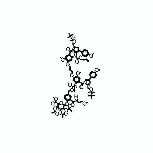 C=CCOC(=O)Nc1cc(OCCCOc2cc(NC(=O)OCc3ccc(O[C@@H]4O[C@H](C(=O)OC)[C@@H](OC(C)=O)[C@H](OC(C)=O)[C@H]4OC(C)=O)c(C(=O)NCCOC)c3)c(C(=O)N3C=C(c4ccc(OC)cc4)C[C@H]3CO[Si](C)(C)C(C)(C)C)cc2OC)c(OC)cc1C(=O)N1C=C(c2ccc(OC)cc2)C[C@H]1CO[Si](C)(C)C(C)(C)C